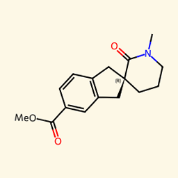 COC(=O)c1ccc2c(c1)C[C@@]1(CCCN(C)C1=O)C2